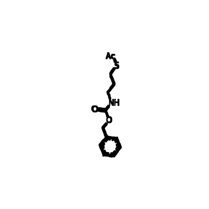 CC(=O)SCCCNC(=O)OCc1ccccc1